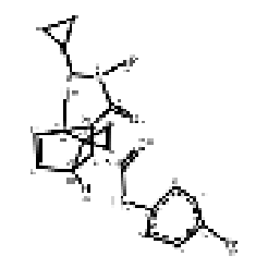 CCCN(CC1CC1)C(=O)[C@H]1[C@H](C(=O)Nc2ccc(Br)cc2)[C@@H]2C=C[C@H]1C21CC1